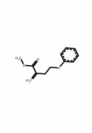 C=C(CCSc1ccccc1)C(=O)OC